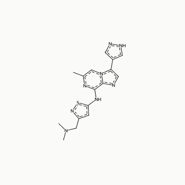 Cc1cn2c(-c3cn[nH]c3)cnc2c(Nc2cc(CN(C)C)ns2)n1